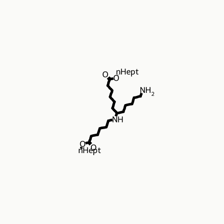 CCCCCCCOC(=O)CCCCCNC(CCCCCN)CCCCCC(=O)OCCCCCCC